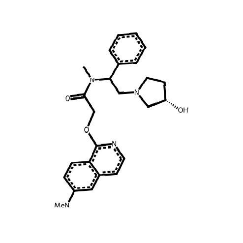 CNc1ccc2c(OCC(=O)N(C)C(CN3CC[C@H](O)C3)c3ccccc3)nccc2c1